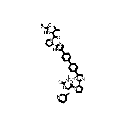 COC(=O)N[C@H](C(=O)N1CCC[C@H]1c1ncc(-c2ccc(-c3ccc(-c4cnc([C@@H]5CCCN5C(=O)[C@H](Cc5cccnc5)OC(N)=O)[nH]4)cc3)cc2)[nH]1)C(C)C